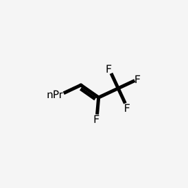 CCCC=C(F)C(F)(F)F